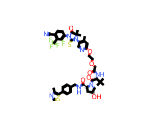 Cc1cc(OCCOCC(=O)N[C@H](C(=O)N2C[C@H](O)C[C@H]2C(=O)NCc2ccc(-c3scnc3C)cc2)C(C)(C)C)ncc1N1C(=S)N(c2ccc(C#N)c(C(F)(F)F)c2F)C(=O)C1(C)C